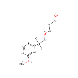 CCCCOc1cccc(C(C)(C)COCCCO)c1